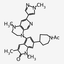 CC(=O)N1CCC(c2cc(N3CCN(C)c4cc(-c5cnn(C)c5)ncc43)c3cc(C)c(=O)n(C)c3c2)CC1